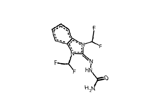 NC(=O)NN=c1n(C(F)F)c2ccccc2n1C(F)F